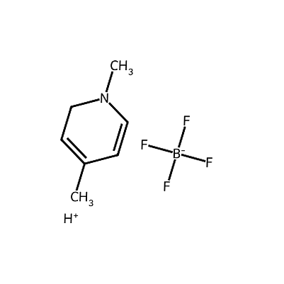 CC1=CCN(C)C=C1.F[B-](F)(F)F.[H+]